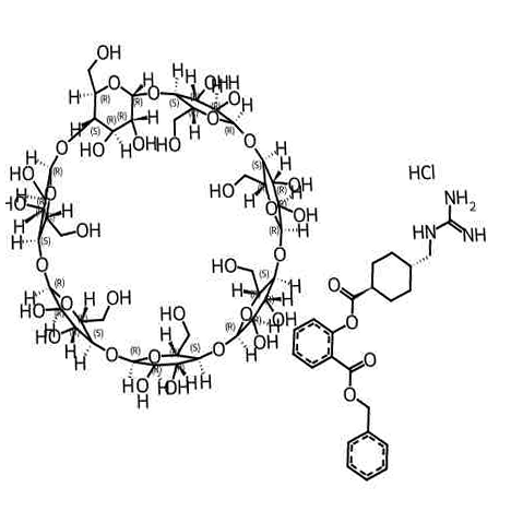 Cl.N=C(N)NC[C@H]1CC[C@H](C(=O)Oc2ccccc2C(=O)OCc2ccccc2)CC1.OC[C@H]1O[C@@H]2O[C@H]3[C@H](O)[C@@H](O)[C@@H](O[C@H]4[C@H](O)[C@@H](O)[C@@H](O[C@H]5[C@H](O)[C@@H](O)[C@@H](O[C@H]6[C@H](O)[C@@H](O)[C@@H](O[C@H]7[C@H](O)[C@@H](O)[C@@H](O[C@H]8[C@H](O)[C@@H](O)[C@@H](O[C@H]1[C@H](O)[C@H]2O)O[C@@H]8CO)O[C@@H]7CO)O[C@@H]6CO)O[C@@H]5CO)O[C@@H]4CO)O[C@@H]3CO